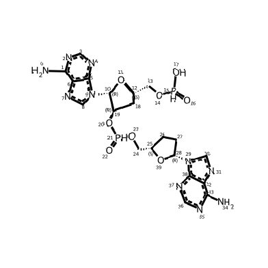 Nc1ncnc2c1ncn2[C@@H]1O[C@H](CO[PH](=O)O)C[C@H]1O[PH](=O)OC[C@@H]1CC[C@H](n2cnc3c(N)ncnc32)O1